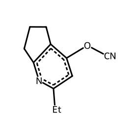 CCc1cc(OC#N)c2c(n1)CCC2